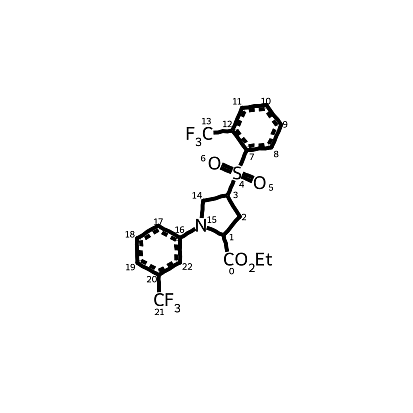 CCOC(=O)C1CC(S(=O)(=O)c2ccccc2C(F)(F)F)CN1c1cccc(C(F)(F)F)c1